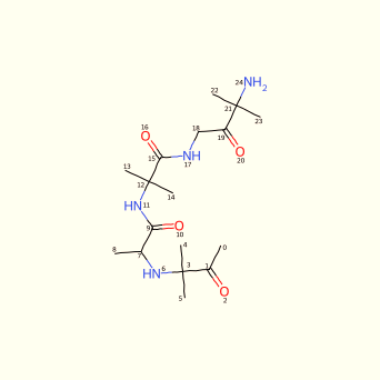 CC(=O)C(C)(C)NC(C)C(=O)NC(C)(C)C(=O)NCC(=O)C(C)(C)N